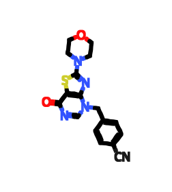 N#Cc1ccc(Cn2cnc(=O)c3sc(N4CCOCC4)nc32)cc1